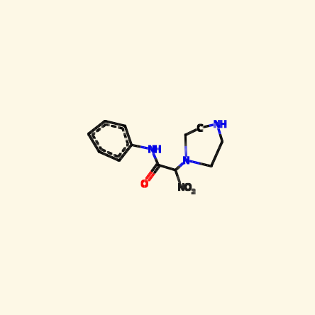 O=C(Nc1ccccc1)C(N1CCNCC1)[N+](=O)[O-]